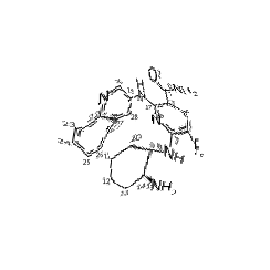 NC(=O)c1cc(F)c(NC2CCCC[C@@H]2N)nc1Nc1cnc2ccccc2c1